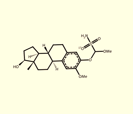 COc1cc2c(cc1OC(OC)S(N)(=O)=[17O])CC[C@@H]1[C@@H]2CC[C@]2(C)[C@@H](O)CC[C@@H]12